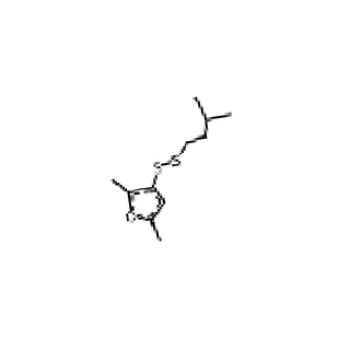 Cc1cc(SSCCC(C)C)c(C)o1